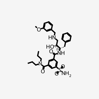 CCCN(CCC)C(=O)c1cc(C(=O)N[C@@H](Cc2ccccc2)[C@H](O)CNCc2cccc(OC)c2)cc(S(N)(=O)=O)c1